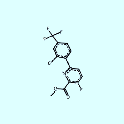 COC(=O)c1nc(-c2ccc(C(F)(F)F)cc2Cl)ccc1F